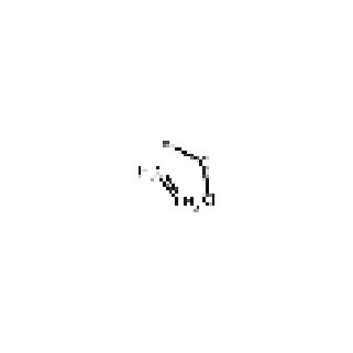 C=C.CCOCl